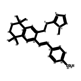 Cn1ccnc1SCc1cc2c(cc1/C=C/c1ccc(C(=O)O)cc1)C(C)(C)CCC2(C)C